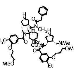 CCc1ccc(C(=O)N(C[C@@H]2CNC[C@@H]2CNC)C(C)C)cc1OCCCOC.COCCCOc1cc(C(=O)N(C[C@@H]2CNC[C@H]2CN(C)C(=O)Cc2ccccc2)C2(C(C)C)CC(C(=O)O)CCO2)ccc1C